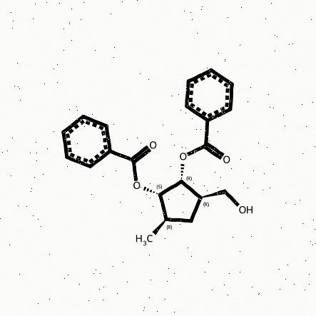 C[C@@H]1C[C@H](CO)[C@@H](OC(=O)c2ccccc2)[C@H]1OC(=O)c1ccccc1